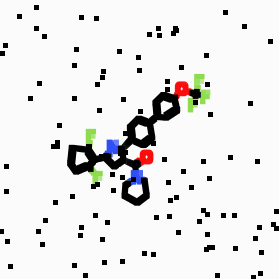 O=C([C@H]1CC(c2c(F)cccc2F)=N[C@H]1c1ccc(-c2ccc(OC(F)(F)F)cc2)cc1)N1CCCCC1